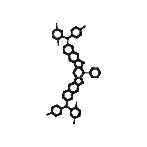 Cc1ccc(N(c2ccc3cc4c(cc3c2)oc2c(-c3ccccc3)c3oc5cc6cc(N(c7ccc(C)cc7)c7cc(C)ccc7C)ccc6cc5c3cc24)c2cc(C)ccc2C)cc1